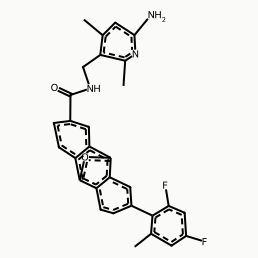 Cc1cc(N)nc(C)c1CNC(=O)c1ccc2c(c1)c1oc2c2ccc(-c3c(C)cc(F)cc3F)cc21